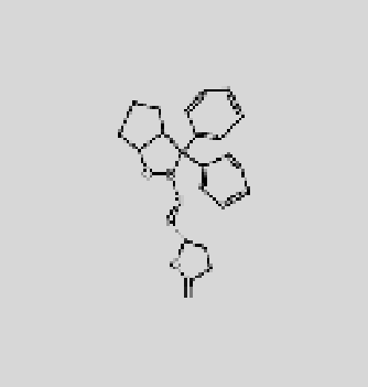 B1CC[C@@H](N=NB2OC3CCCC3C2(c2ccccc2)c2ccccc2)O1